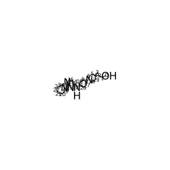 OCC1CC12CCN(c1ccc(Nc3ccnc(N4CCCCCC4)n3)cc1)CC2